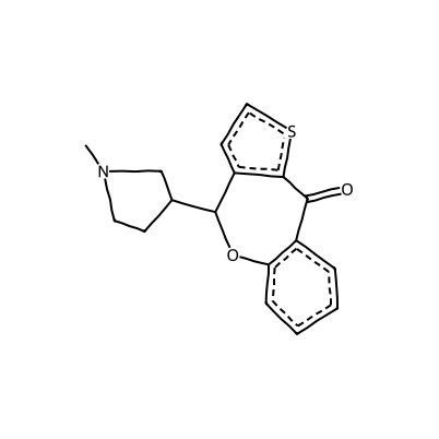 CN1CCC(C2Oc3ccccc3C(=O)c3sccc32)C1